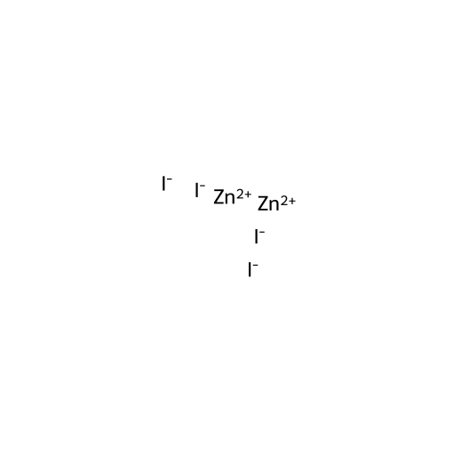 [I-].[I-].[I-].[I-].[Zn+2].[Zn+2]